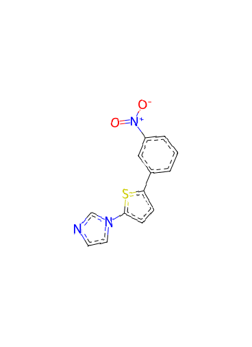 O=[N+]([O-])c1cccc(-c2ccc(-n3ccnc3)s2)c1